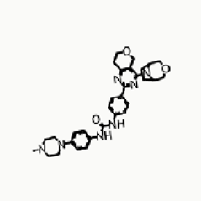 CN1CCN(c2ccc(NC(=O)Nc3ccc(-c4nc5c(c(N6C7CCC6COC7)n4)COCC5)cc3)cc2)CC1